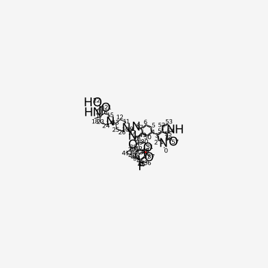 Cn1cc(-c2ccc3nc(N4CCC(N5CCC(C)(NC(=O)O)CC5)CC4)nc(C(COC4CCCCO4)(OC4CC4)c4ccc(F)cc4)c3c2)c2cc[nH]c2c1=O